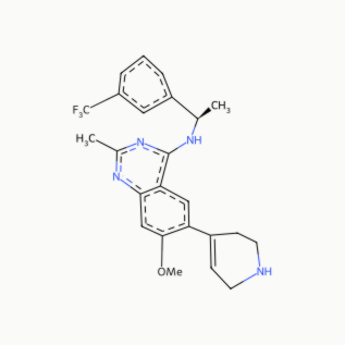 COc1cc2nc(C)nc(N[C@H](C)c3cccc(C(F)(F)F)c3)c2cc1C1=CCNCC1